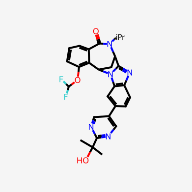 CC(C)N1C(=O)c2cccc(OC(F)F)c2C2CC1c1nc3ccc(-c4cnc(C(C)(C)O)nc4)cc3n12